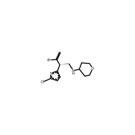 C=C(C(C)C)[C@H](CNC1CCOCC1)c1ccc(Cl)s1